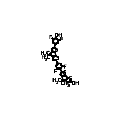 CC1(C)c2cc(-c3cc(F)c(O)c(F)c3)sc2-c2sc(-c3cc(F)c(-c4cc5c(s4)-c4sc(O)cc4C5(C)C)c(F)c3)cc21